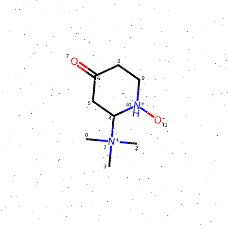 C[N+](C)(C)C1CC(=O)CC[NH+]1[O-]